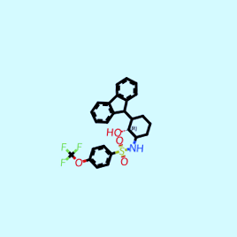 O=S(=O)(NC1CCCC(C2c3ccccc3-c3ccccc32)[C@H]1O)c1ccc(OC(F)(F)F)cc1